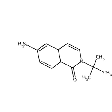 CC(C)(C)N1C=CC2C=C(N)C=CC2C1=O